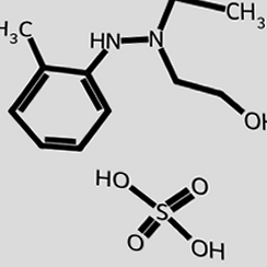 CCN(CCO)Nc1ccccc1C.O=S(=O)(O)O